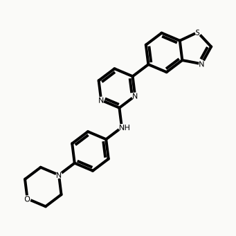 c1cc(-c2ccc3scnc3c2)nc(Nc2ccc(N3CCOCC3)cc2)n1